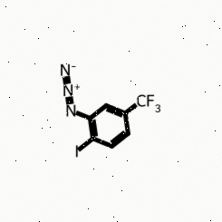 [N-]=[N+]=Nc1cc(C(F)(F)F)ccc1I